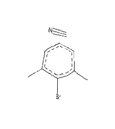 C#N.Cc1cccc(C)c1Br